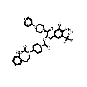 Nc1c(Br)cc(C[C@@H](OC(=O)N2CCC(N3CCc4ccccc4NC3=O)CC2)C(=O)N2CCN(c3ccncc3)CC2)cc1C(F)(F)F